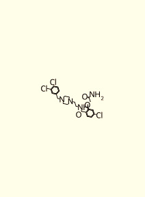 NC(=O)COc1cc(Cl)ccc1C(=O)NCCN1CCN(Cc2ccc(Cl)c(Cl)c2)CC1